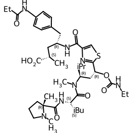 CCNC(=O)O[C@H](C[C@H](C(C)C)N(C)C(=O)[C@@H](NC(=O)[C@@]1(C)CCCN1C)[C@@H](C)CC)c1nc(C(=O)N[C@@H](Cc2ccc(NC(=O)CC)cc2)C[C@H](C)C(=O)O)cs1